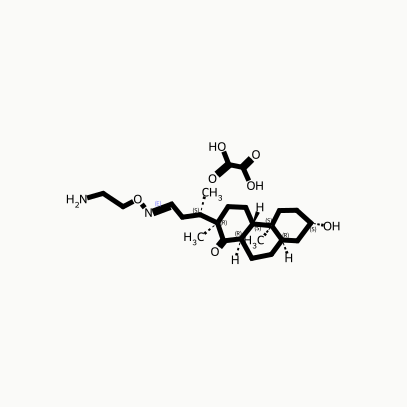 C[C@@H](C/C=N/OCCN)[C@@]1(C)CC[C@H]2[C@@H](CC[C@@H]3C[C@@H](O)CC[C@@]32C)C1=O.O=C(O)C(=O)O